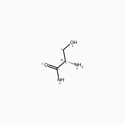 [NH]C(=O)[C@@H](N)CO